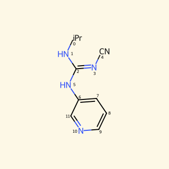 CC(C)NC(=NC#N)Nc1cccnc1